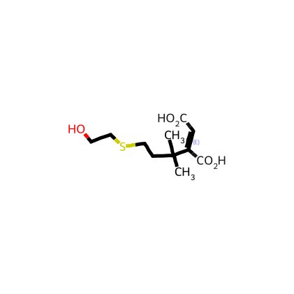 CC(C)(CCSCCO)/C(=C\C(=O)O)C(=O)O